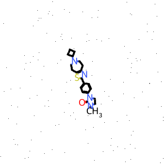 CN1CCN(c2ccc(-c3nc4c(s3)CCN(C3CCC3)CC4)cc2)C1=O